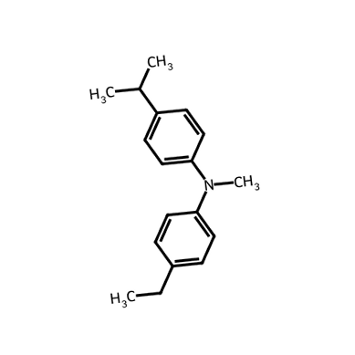 CCc1ccc(N(C)c2ccc(C(C)C)cc2)cc1